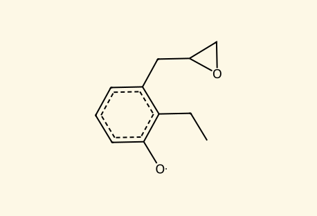 CCc1c([O])cccc1CC1CO1